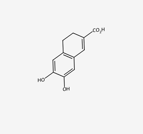 O=C(O)C1=Cc2cc(O)c(O)cc2CC1